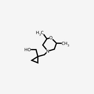 CC1CN(CC2(CO)CC2)CC(C)O1